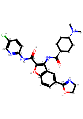 CN(C)[C@H]1CC[C@H](C(=O)Nc2c(C(=O)Nc3ccc(Cl)cn3)oc3ccc(C4=NCCO4)cc23)CC1